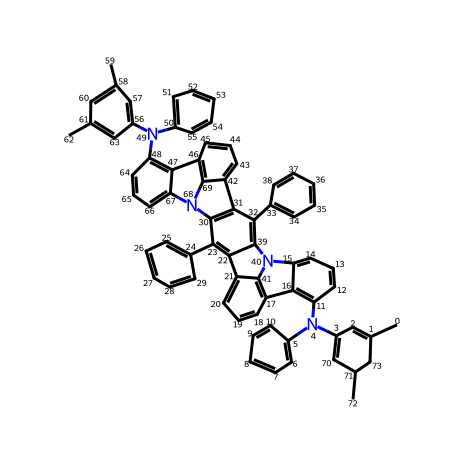 CC1=CC(N(c2ccccc2)c2cccc3c2c2cccc4c5c(-c6ccccc6)c6c(c(-c7ccccc7)c5n3c24)c2cccc3c4c(N(c5ccccc5)c5cc(C)cc(C)c5)cccc4n6c32)=CC(C)C1